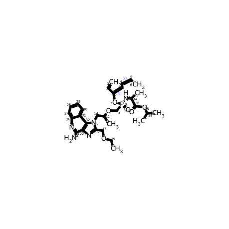 C=C/C(=C\C=C/C)OP(=O)(COC(C)Cn1c(COCC)nc2c(N)nc3ccccc3c21)NC(C)C(=O)OC(C)C